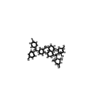 Cc1ccc(N(c2ccc(C)cc2)c2ccc3c(c2)Oc2cccc4c(B(c5c(C)cc(C)cc5C)c5c(C)cc(C)cc5C)ccc-3c24)cc1